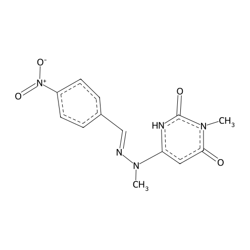 CN(/N=C/c1ccc([N+](=O)[O-])cc1)c1cc(=O)n(C)c(=O)[nH]1